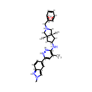 Cn1cc2cc(-c3cc(C(F)(F)F)c(N[C@H]4C[C@@H]5CN(Cc6cc7ccc6o7)C[C@@H]5C4)nn3)ccc2n1